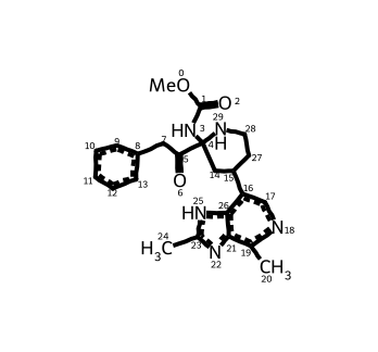 COC(=O)NC1(C(=O)Cc2ccccc2)CC(c2cnc(C)c3nc(C)[nH]c23)CCN1